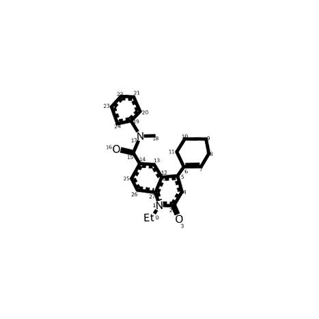 CCn1c(=O)cc(C2=CCCCC2)c2cc(C(=O)N(C)c3ccccc3)ccc21